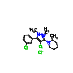 CC1CCCCN1c1c(Cl)c(-c2cccc(Cl)c2)n(C)[n+]1C.[Cl-]